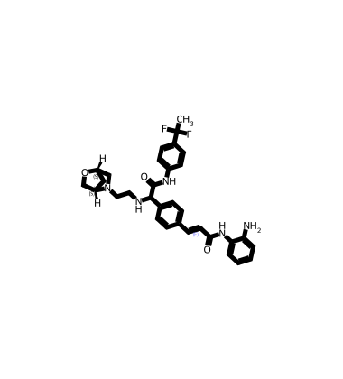 CC(F)(F)c1ccc(NC(=O)C(NCCN2C[C@@H]3C[C@H]2CO3)c2ccc(/C=C/C(=O)Nc3ccccc3N)cc2)cc1